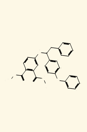 COC(=O)c1ccc(OC(Cc2ccccc2)c2ccc(Oc3ccccc3)cc2)cc1C(=O)OC